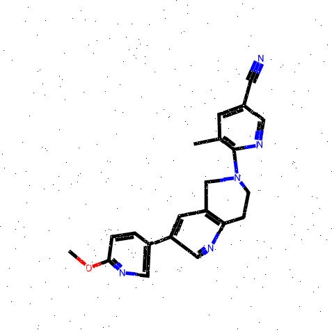 COc1ccc(-c2cnc3c(c2)CN(c2ncc(C#N)cc2C)CC3)cn1